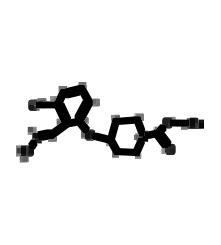 CC(C)(C)OC(=O)N1CCC(Oc2cccc(Cl)c2C=NO)CC1